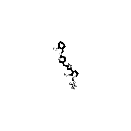 Nc1c(-c2cc(Cc3ccc(OCc4ccccc4C(F)(F)F)nc3)no2)ccc[n+]1COP(=O)([O-])O